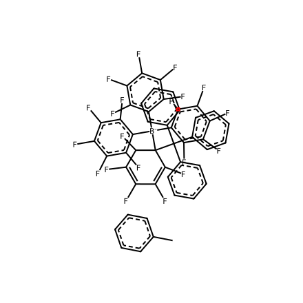 Cc1ccccc1.FC1=C(F)C(F)C([B-](c2c(F)c(F)c(F)c(F)c2F)(c2c(F)c(F)c(F)c(F)c2F)c2c(F)c(F)c(F)c(F)c2F)(C(c2ccccc2)(c2ccccc2)c2ccccc2)C(F)=C1F